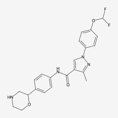 Cc1nn(-c2ccc(OC(F)F)cc2)cc1C(=O)Nc1ccc(C2CNCCO2)cc1